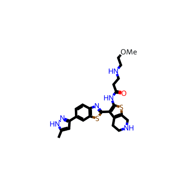 COCCNCCC(=O)Nc1sc2c(c1-c1nc3ccc(-c4cc(C)[nH]n4)cc3s1)CCNC2